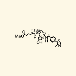 COC(=O)CCCC(=O)N[C@H](C(=O)N1C[C@H](O)C[C@H]1C(=O)N[C@@H](C)c1ccc(-c2scnc2C)cc1)C(C)(C)C